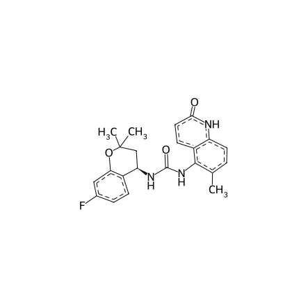 Cc1ccc2[nH]c(=O)ccc2c1NC(=O)N[C@@H]1CC(C)(C)Oc2cc(F)ccc21